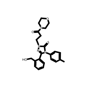 Cc1ccc(-n2c(-c3ccccc3CO)nn(CCC(=O)N3CCOCC3)c2=S)cc1